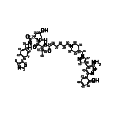 Cc1ncsc1-c1ccc(CNC(=O)[C@@H]2C[C@@H](O)CN2C(=O)C(NC(=O)CCCCCN2CCC(Cn3cc(-c4cc(-c5ccccc5O)nnc4N)cn3)CC2)C(C)(C)C)cc1